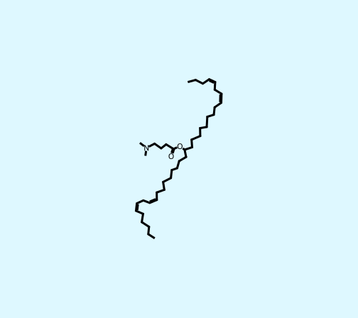 CCC/C=C\C/C=C\CCCCCCCCC(CCCCCCCC/C=C\C/C=C\CCCCC)OC(=O)CCCN(C)C